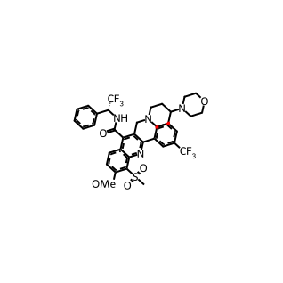 COc1ccc2c(C(=O)N[C@H](c3ccccc3)C(F)(F)F)c(CN3CCC(N4CCOCC4)CC3)c(-c3cccc(C(F)(F)F)c3)nc2c1S(C)(=O)=O